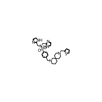 O=S(=O)(c1ccc(CN2CCCC3(CCN(Cc4cccs4)CC3)C2)cc1)N(Cc1ncc[nH]1)Cc1ncc[nH]1